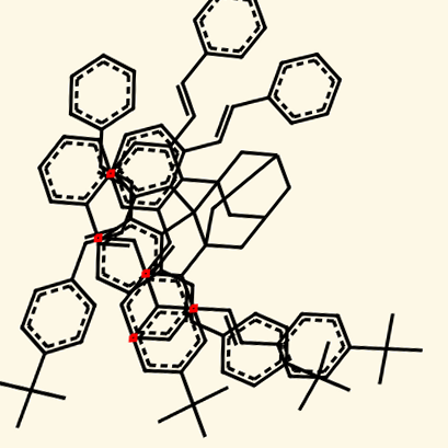 CC(C)(C)c1ccc(C=Cc2cccc(C=Cc3ccccc3)c2C23CC4CC(C2)CC(c2c(C=Cc5ccccc5)cccc2C=Cc2ccc(C(C)(C)C)cc2)(C4)C3(c2c(C=Cc3ccccc3)cccc2C=Cc2ccc(C(C)(C)C)cc2)c2c(C=Cc3ccccc3)cccc2C=Cc2ccc(C(C)(C)C)cc2)cc1